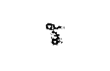 Cn1nc(C(C)(C)CC(=O)N2C(CCC#N)CC3CCCC2C3)c2c(F)cccc21